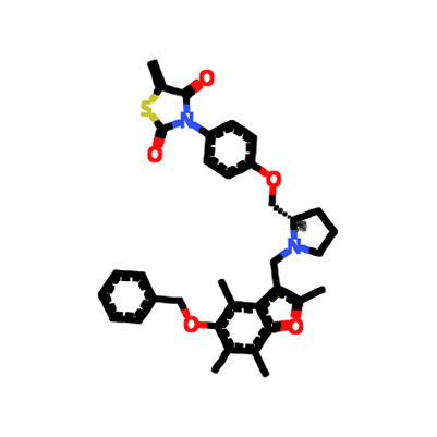 C=C1SC(=O)N(c2ccc(OC[C@@H]3CCCN3Cc3c(C)oc4c(C)c(C)c(OCc5ccccc5)c(C)c34)cc2)C1=O